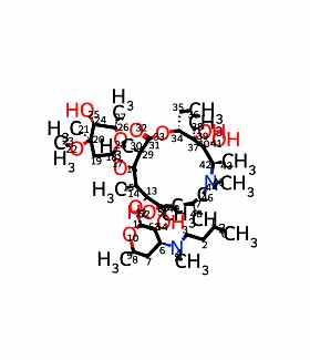 CCCCN(C)[C@H]1C[C@@H](C)O[C@@H](O[C@@H]2[C@@H](C)[C@H](O[C@H]3C[C@@](C)(OC)[C@@H](O)[C@H](C)O3)[C@@H](C)C(=O)O[C@H](CC)[C@@](C)(O)[C@H](O)[C@@H](C)N(C)C[C@H](C)C[C@@]2(C)O)[C@@H]1O